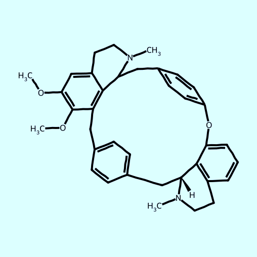 COc1cc2c3c(c1OC)Cc1ccc(cc1)C[C@@H]1c4c(cccc4Oc4ccc(cc4)CC3N(C)CC2)CCN1C